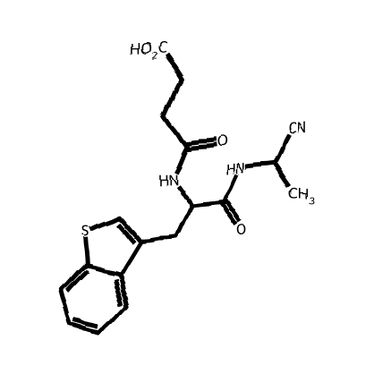 CC(C#N)NC(=O)C(Cc1csc2ccccc12)NC(=O)CCC(=O)O